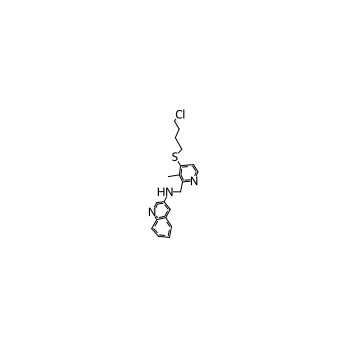 Cc1c(SCCCCCl)ccnc1CNc1cnc2ccccc2c1